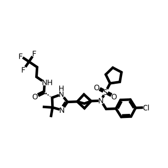 CC1(C)N=C(C23CC(N(Cc4ccc(Cl)cc4)S(=O)(=O)C4CCCC4)(C2)C3)N[C@H]1C(=O)NCCC(F)(F)F